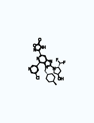 C[C@H]1CC[C@H](Cn2c(N3C[C@H](O)C[C@H]3C(F)F)nc3cc(-c4noc(=O)[nH]4)nc(-c4cncc(Cl)c4)c32)CC1